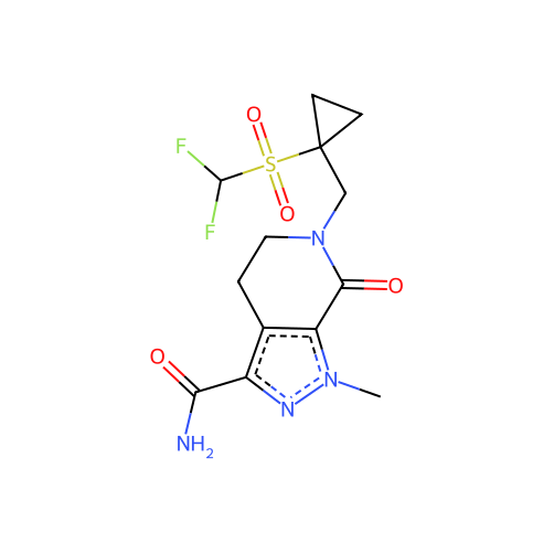 Cn1nc(C(N)=O)c2c1C(=O)N(CC1(S(=O)(=O)C(F)F)CC1)CC2